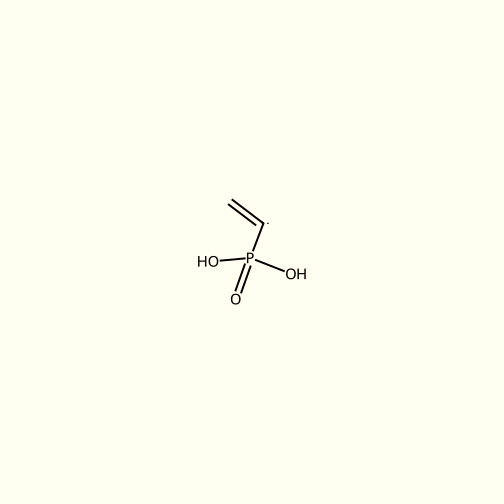 C=[C]P(=O)(O)O